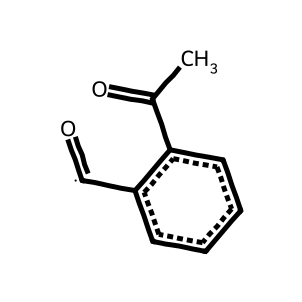 CC(=O)c1ccccc1[C]=O